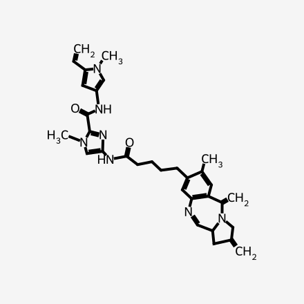 C=Cc1cc(NC(=O)c2nc(NC(=O)CCCCc3cc4c(cc3C)C(=C)N3CC(=C)CC3C=N4)cn2C)cn1C